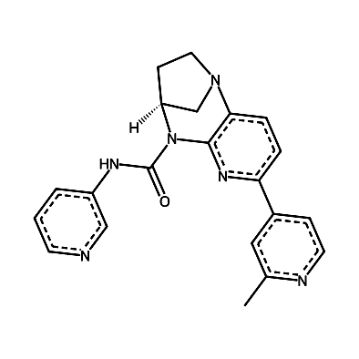 Cc1cc(-c2ccc3c(n2)N(C(=O)Nc2cccnc2)[C@H]2CCN3C2)ccn1